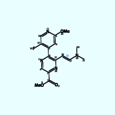 COC(=O)c1cnc(-c2cc(OC)ncc2F)c(/C=C/N(C)C)n1